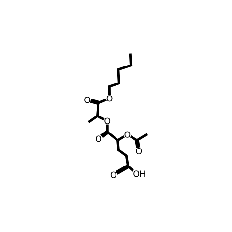 CCCCCOC(=O)C(C)OC(=O)C(CCC(=O)O)OC(C)=O